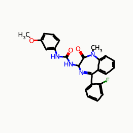 COc1cccc(NC(=O)NC2N=C(c3ccccc3F)c3ccccc3N(C)C2=O)c1